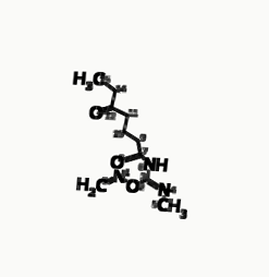 C=NO/C(=N\C)NC(=O)CCCC(=O)CC